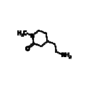 CN1CCC(CCN)CC1=O